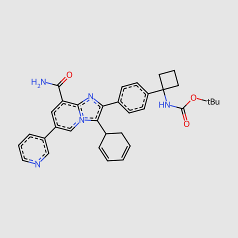 CC(C)(C)OC(=O)NC1(c2ccc(-c3nc4c(C(N)=O)cc(-c5cccnc5)cn4c3C3C=CC=CC3)cc2)CCC1